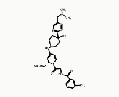 COC[C@@H]1C=C(NC2CCC(O)(c3ccc(CN(C)C)cn3)CC2)C=CN1C(=O)CNC(=O)c1cccc(C(F)(F)F)c1